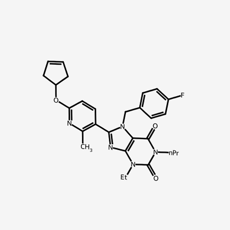 CCCn1c(=O)c2c(nc(-c3ccc(OC4CC=CC4)nc3C)n2Cc2ccc(F)cc2)n(CC)c1=O